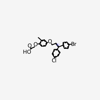 Cc1cc(OC/C=C(\c2ccc(Cl)cc2)c2ccc(Br)cc2)ccc1OCC(=O)O